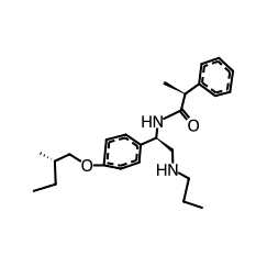 CCCNC[C@H](NC(=O)[C@@H](C)c1ccccc1)c1ccc(OC[C@@H](C)CC)cc1